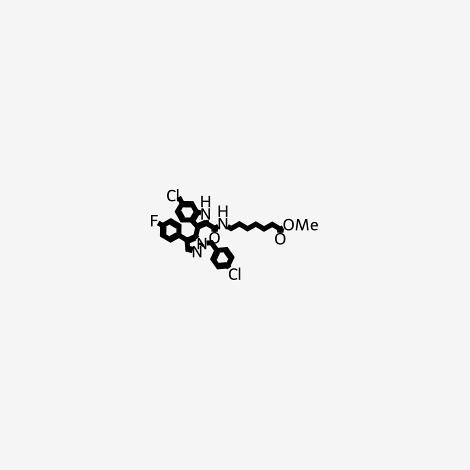 COC(=O)CCCCCCNC(=O)c1[nH]c2cc(Cl)ccc2c1-c1c(-c2ccc(F)cc2)cnn1Cc1ccc(Cl)cc1